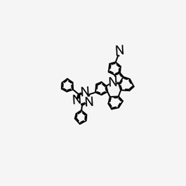 N#Cc1ccc2c(c1)c1cccc3c1n2-c1ccc(-c2nc(-c4ccccc4)nc(-c4ccccc4)n2)cc1-c1ccccc1-3